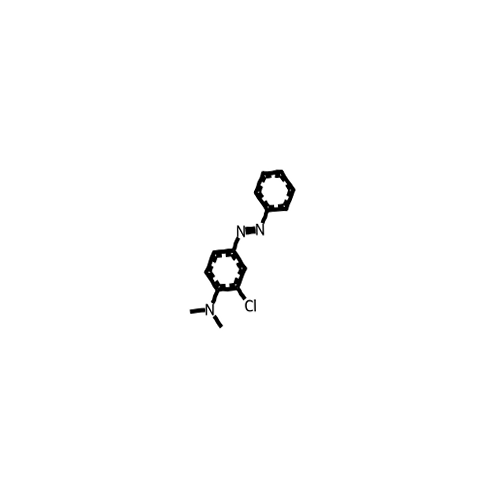 CN(C)c1ccc(/N=N/c2ccccc2)cc1Cl